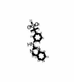 CC(C)(c1cccc(Nc2ncc3ccccc3n2)c1)S(C)(=O)=O